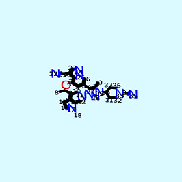 Cc1c(-c2cc(OC(C)c3cncc4c3ccn4C)c3c(C#N)cnn3c2)nnn1C1CCN(C#N)CC1